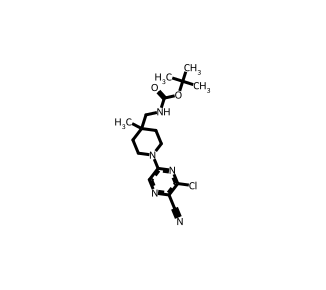 CC1(CNC(=O)OC(C)(C)C)CCN(c2cnc(C#N)c(Cl)n2)CC1